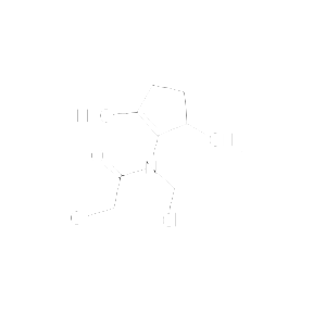 CC1=C(N(CCl)C(=O)CCl)C(C)CC1